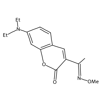 CCN(CC)c1ccc2cc(/C(C)=N/OC)c(=O)oc2c1